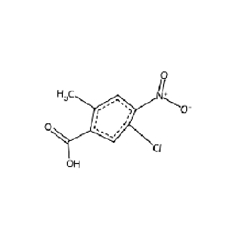 Cc1cc([N+](=O)[O-])c(Cl)cc1C(=O)O